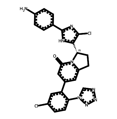 Nc1ccc(-c2nc(Cl)c([C@@H]3CCc4cc(-c5cc(Cl)ccc5-n5cnnn5)cc(=O)n43)[nH]2)cc1